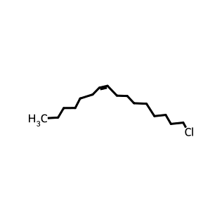 CCCCCC/C=C\CCCCCCCCCl